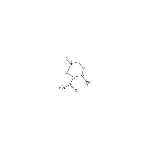 CN1CCC(O)C(C(N)=O)C1